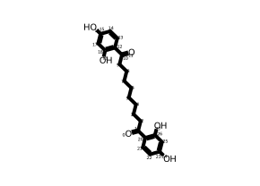 O=C(CCCCCCCCC(=O)c1ccc(O)cc1O)c1ccc(O)cc1O